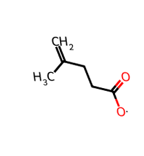 C=C(C)CCC([O])=O